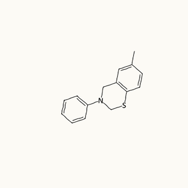 Cc1ccc2c(c1)CN(c1ccccc1)CS2